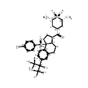 C[C@@H]1C[C@H](C(=O)N2CCC3(S(=O)(=O)c4ccc(Cl)cc4)c4ccc(C(F)(C(F)(F)F)C(F)(F)F)cc4CCC23)C[C@H](C)S1(=O)=O